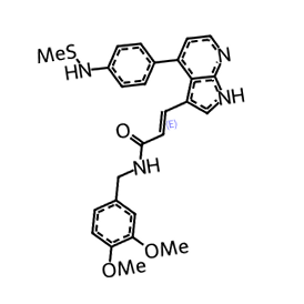 COc1ccc(CNC(=O)/C=C/c2c[nH]c3nccc(-c4ccc(NSC)cc4)c23)cc1OC